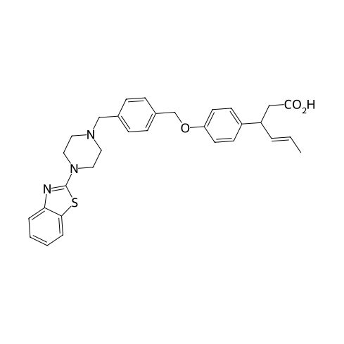 CC=CC(CC(=O)O)c1ccc(OCc2ccc(CN3CCN(c4nc5ccccc5s4)CC3)cc2)cc1